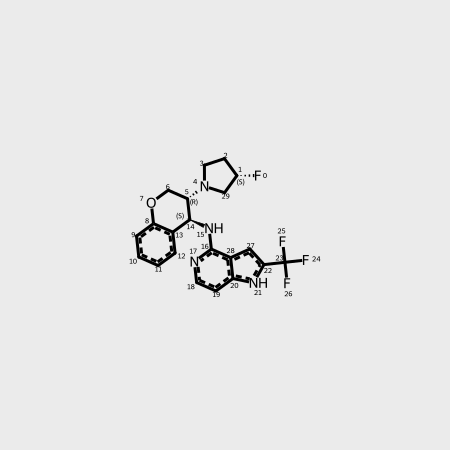 F[C@H]1CCN([C@H]2COc3ccccc3[C@@H]2Nc2nccc3[nH]c(C(F)(F)F)cc23)C1